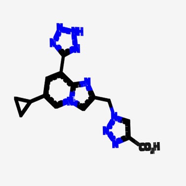 O=C(O)c1cn(Cc2cn3cc(C4CC4)cc(-c4nn[nH]n4)c3n2)nn1